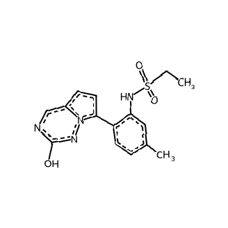 CCS(=O)(=O)Nc1cc(C)ccc1-c1ccc2cnc(O)nn12